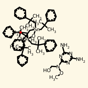 CC(C)([CH2][Sn]([CH2]C(C)(C)c1ccccc1)([CH2]C(C)(C)c1ccccc1)[O][Sn]([CH2]C(C)(C)c1ccccc1)([CH2]C(C)(C)c1ccccc1)[CH2]C(C)(C)c1ccccc1)c1ccccc1.CON(CO)c1nc(N)nc(N)n1